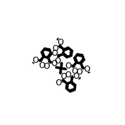 COC(=O)c1ccccc1C(=O)OCC(COC(=O)c1ccccc1C(=O)OC)(COC(=O)c1ccccc1C(=O)OC)COC(=O)c1ccccc1C(=O)OC